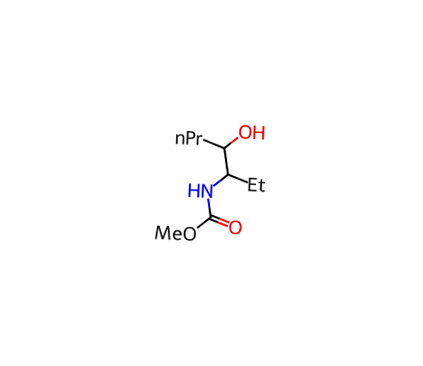 CCCC(O)C(CC)NC(=O)OC